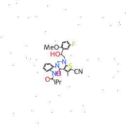 COc1ccc(F)cc1C(O)CN1CN(c2ccccc2NC(=O)C(C)C)C(=O)c2c1sc(C#N)c2C